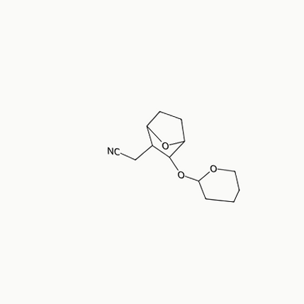 N#CCC1C2CCC(O2)C1OC1CCCCO1